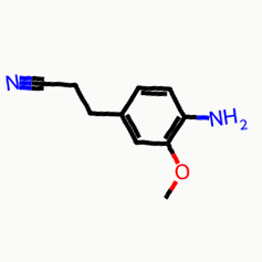 COc1cc(CCC#N)ccc1N